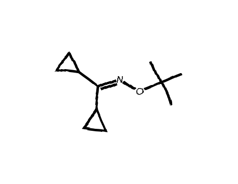 CC(C)(C)ON=C(C1CC1)C1CC1